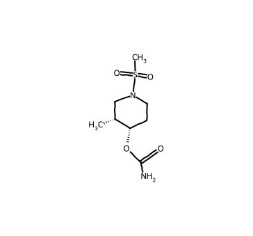 C[C@@H]1CN(S(C)(=O)=O)CC[C@@H]1OC(N)=O